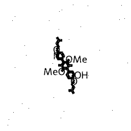 COc1c(C)c(-c2ccc(OCC=C(C)C)c(O)c2)c(OC)c(C)c1-c1ccc(OCC=C(C)C)nc1